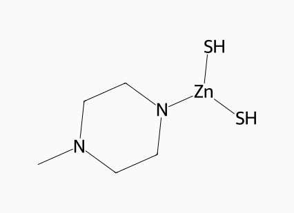 CN1CC[N]([Zn]([SH])[SH])CC1